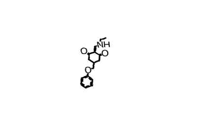 CCNC=C1C(=O)CC(COc2ccccc2)CC1=O